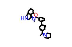 CC(c1ccc(-c2cccc(C(=O)N(C)C3=C4CCCCC4=CNC3)c2)cc1)N1CCCCC1